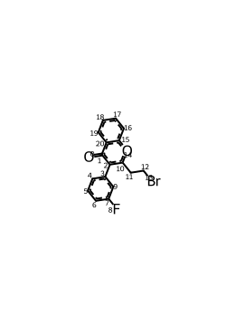 O=c1c(-c2cccc(F)c2)c(CCBr)oc2ccccc12